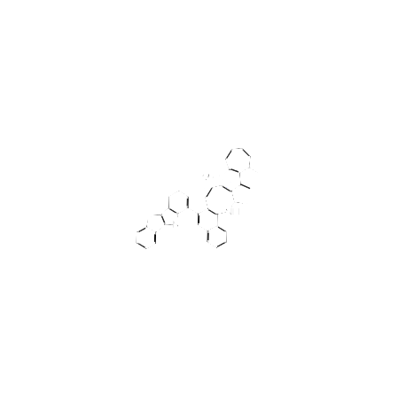 BC1Nc2c(c(C3=CCCc4c3[nH]c3c4sc4ccccc43)cc3ccccc23)/C=C\C=C/1C(=C)C1=C(SC)C=CC=CC1C